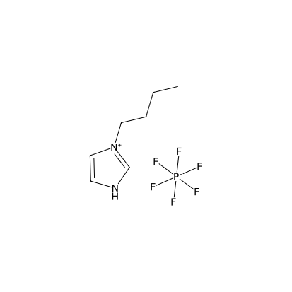 CCCC[n+]1cc[nH]c1.F[P-](F)(F)(F)(F)F